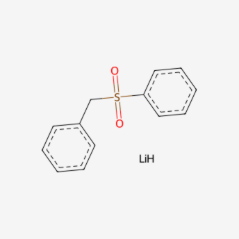 O=S(=O)(Cc1ccccc1)c1ccccc1.[LiH]